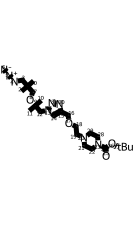 CC(C)(CN=[N+]=[N-])COC(C)(C)Cn1cc(COCCN2CCN(C(=O)OC(C)(C)C)CC2)nn1